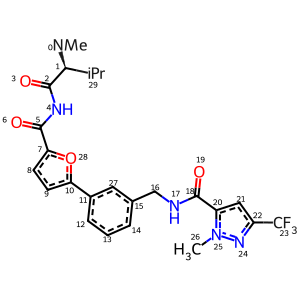 CN[C@H](C(=O)NC(=O)c1ccc(-c2cccc(CNC(=O)c3cc(C(F)(F)F)nn3C)c2)o1)C(C)C